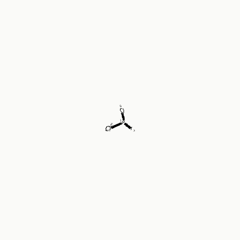 ClP(Cl)I